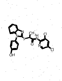 CC(Sc1nc2ccccc2n1-c1ccc(O)cc1)C(=O)Nc1ncc(Cl)cc1Cl